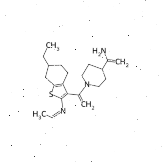 C=C(N)C1CCN(C(=C)c2c(/N=C\C)sc3c2CCC(CC)C3)CC1